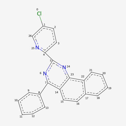 Clc1ccc(-c2nc(-c3ccccc3)c3ccc4ccccc4c3n2)nc1